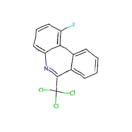 Fc1cccc2nc(C(Cl)(Cl)Cl)c3ccccc3c12